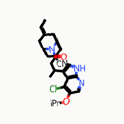 CC=C1CC2CC(C#N)CC(C1)N2C(=O)CC(C)c1c[nH]c2ncc(OC(C)C)c(Cl)c12